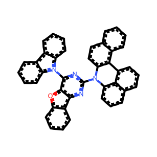 c1ccc2c3c(ccc2c1)N(c1nc(-n2c4ccccc4c4ccccc42)c2oc4ccccc4c2n1)c1cccc2cccc-3c12